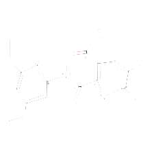 COc1cc(NC(=O)c2[nH]c(=O)c(F)cc2C(=O)O)cc(OC)c1